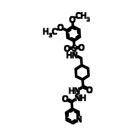 COc1ccc(S(=O)(=O)NCC2CCC(C(=O)NNC(=O)c3cccnc3)CC2)cc1OC